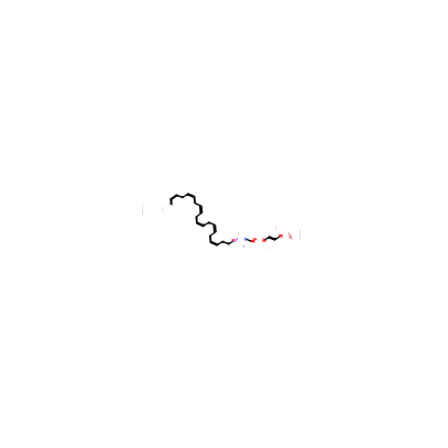 CC/C=C\C/C=C\C/C=C\C/C=C\C/C=C\C/C=C\CCC(=O)NCCOC(=O)/C=C/C(=O)OC